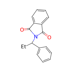 CCC(c1ccccc1)N1C(=O)c2ccccc2C1=O